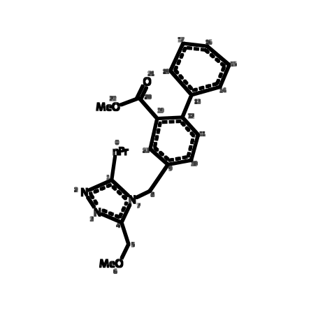 CCCc1nnc(COC)n1Cc1ccc(-c2ccccc2)c(C(=O)OC)c1